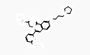 COc1cccc(-c2cc3ccc(OCCCN4CCCC4)cc3c(=O)n2CC(=O)NC(C)C)n1